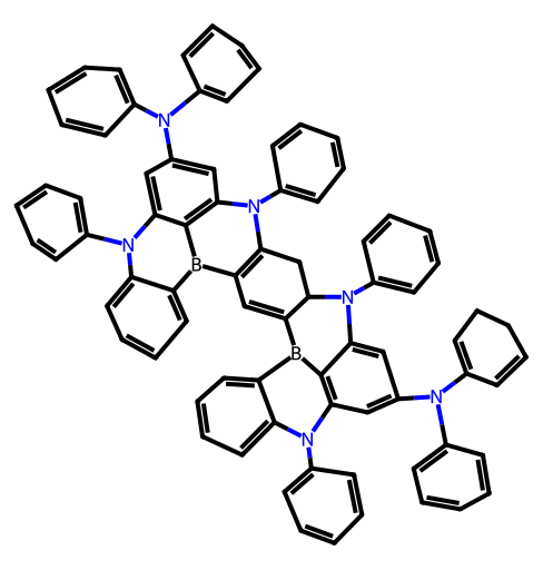 C1=CC(N(c2ccccc2)c2cc3c4c(c2)N(c2ccccc2)C2CC5=C(C=C2B4c2ccccc2N3c2ccccc2)B2c3ccccc3N(c3ccccc3)c3cc(N(c4ccccc4)c4ccccc4)cc(c32)N5c2ccccc2)=CCC1